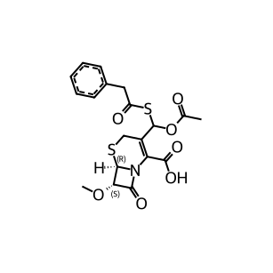 CO[C@H]1C(=O)N2C(C(=O)O)=C(C(OC(C)=O)SC(=O)Cc3ccccc3)CS[C@H]12